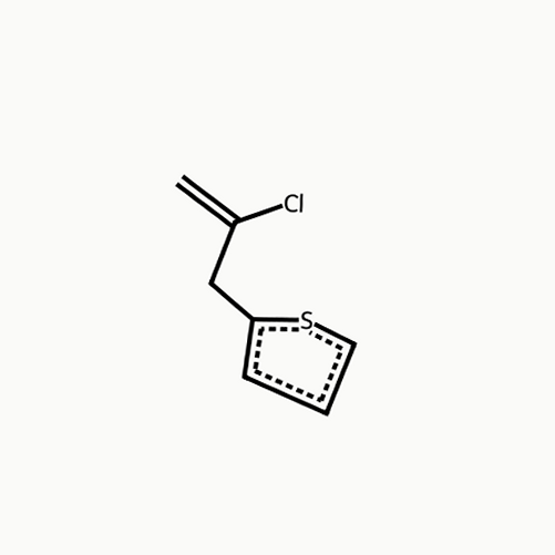 C=C(Cl)Cc1cccs1